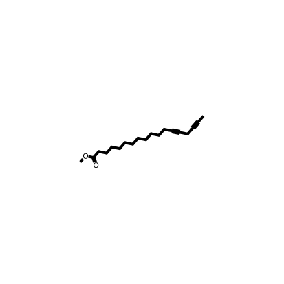 CC#CCC#CCCCCCCCCCCCC(=O)OC